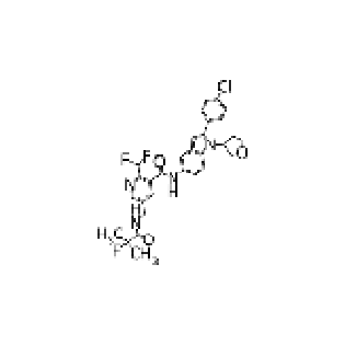 CC(C)(F)C(=O)NCc1cnc(C(F)F)c(C(=O)Nc2ccc3c(c2)cc(-c2ccc(Cl)cc2)n3[C@H]2CCOC2)c1